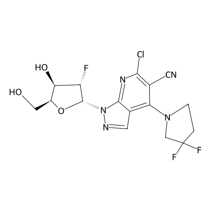 N#Cc1c(Cl)nc2c(cnn2[C@@H]2O[C@@H](CO)[C@@H](O)[C@@H]2F)c1N1CCC(F)(F)C1